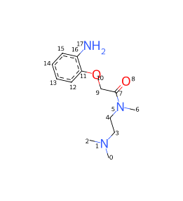 CN(C)CCN(C)C(=O)COc1ccccc1N